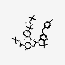 C[C@@H]1CO[C@@H](C(C)(C)O[SiH2]C(C)(C)C)CN1C[C@H]1CN(C(=O)OC(C)(C)C)[C@H](C)CN1CC(=O)N1CC(C)(C)c2ncc(Cc3ccc(F)cc3)cc21